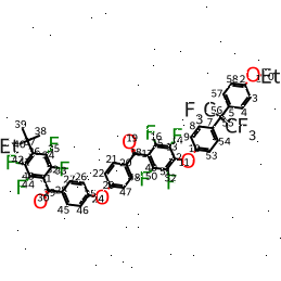 CCOc1ccc(C(c2ccc(Oc3c(F)c(F)c(C(=O)c4ccc(Oc5ccc(C(=O)c6c(F)c(F)c(C(C)(C)CC)c(F)c6F)cc5)cc4)c(F)c3F)cc2)(C(F)(F)F)C(F)(F)F)cc1